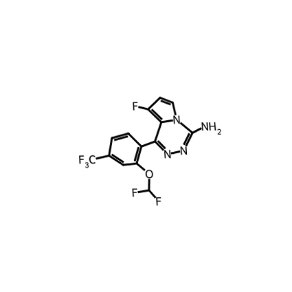 Nc1nnc(-c2ccc(C(F)(F)F)cc2OC(F)F)c2c(F)ccn12